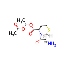 CC(=O)OC(C)OC(=O)C1=CCS[C@@H]2[C@H](N)C(=O)N12